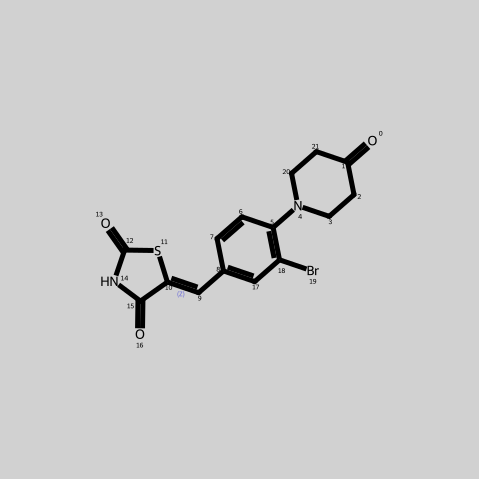 O=C1CCN(c2ccc(/C=C3\SC(=O)NC3=O)cc2Br)CC1